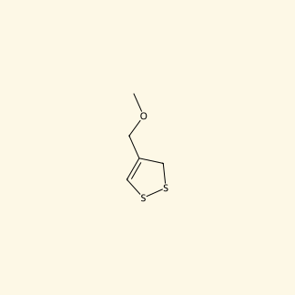 COCC1=CSSC1